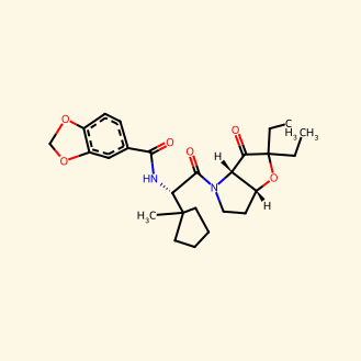 CCC1(CC)O[C@@H]2CCN(C(=O)[C@@H](NC(=O)c3ccc4c(c3)OCO4)C3(C)CCCC3)[C@@H]2C1=O